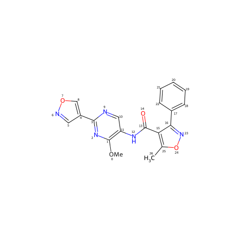 COc1nc(-c2cnoc2)ncc1NC(=O)c1c(-c2ccccc2)noc1C